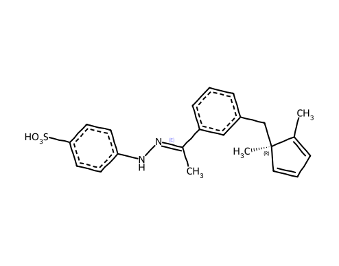 CC1=CC=C[C@@]1(C)Cc1cccc(/C(C)=N/Nc2ccc(S(=O)(=O)O)cc2)c1